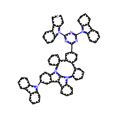 c1ccc2c(c1)c1ccccc1n2-c1ccc2c(c1)c1c3ccccc3n3c4ccccc4c4ccc(-c5nc(-n6c7ccccc7c7ccccc76)nc(-n6c7ccccc7c7ccccc76)n5)cc4c4ccccc4n2c13